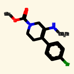 CCOC(=O)NC1=C(c2ccc(Br)cc2)CCN(C(=O)OC(C)(C)C)C1